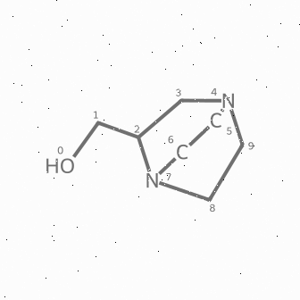 OCC1CN2CCN1CC2